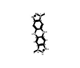 Cn1nnc2cc3c(cc21)Oc1cc2nnn(C)c2cc1O3